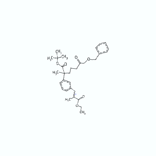 CCOC(=O)/C(C)=C/c1cccc(C(C)(CCCC(=O)COCc2ccccc2)C(=O)OC(C)(C)C)c1